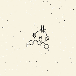 Cc1ccc(/C2=c3\cc/c([nH]3)=C(\c3ccc(I)cc3)C3=N/C(=C\C4CC(C)(C)C(/C=C5/C=CC2=N5)N4)C=C3)cc1